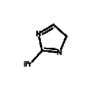 CC(C)C1=NCC=N1